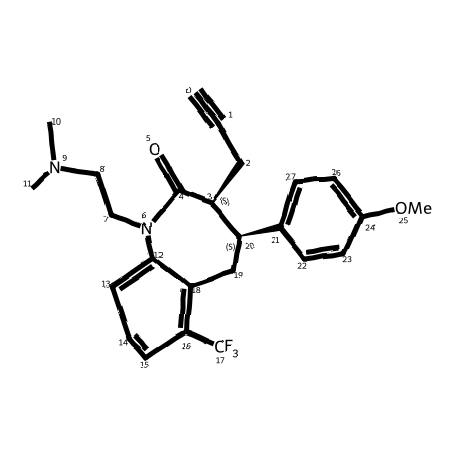 C#CC[C@@H]1C(=O)N(CCN(C)C)c2cccc(C(F)(F)F)c2C[C@@H]1c1ccc(OC)cc1